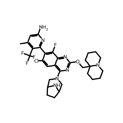 Cc1cc(N)nc(-c2c(Cl)cc3c(N4CC5CCC(C4)N5)nc(OCC45CCCCN4CCCC5)nc3c2F)c1C(F)(F)F